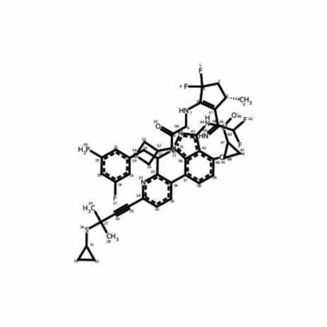 C[C@H]1CC(F)(F)C(NCC(=O)NC(Cc2cc(F)cc(P)c2)c2nc(C#CC(C)(C)SC3CC3)ccc2-c2ccc(Cl)c3c(N[S+]([O-])C4CC4)nn(C4COC4)c23)=C1C(=N)C(F)F